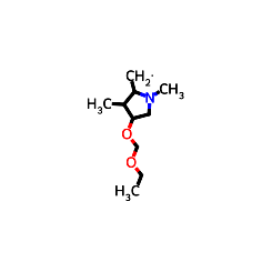 [CH2]C1C(C)C(OCOCC)CN1C